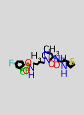 CC(C)C[C@@H](NC(=O)c1cc2sccc2[nH]1)C(=O)NCCCCNS(=O)(=O)c1ccc(F)cc1Cl